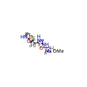 COCc1cc(C(=O)Nc2cc([C@@H]3CC[C@@H](OC(=O)NC(C)C)[C@H]3F)[nH]n2)n(C)n1